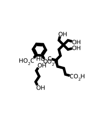 O=C(O)CCCC(CCC(CO)(CO)CO)C(=O)O.O=C(O)c1ccccc1C(=O)O.OCCCO